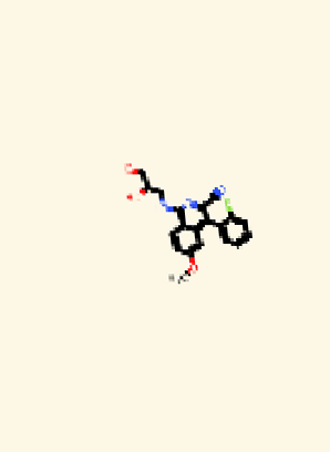 COc1ccc2c(NCC(O)CO)nc(C#N)c(-c3ccccc3F)c2c1